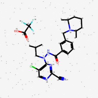 CC(C)CN(NC(=O)c1cccc(CN2C(C)CCCC2C)c1)c1nc(C#N)ncc1Cl.O=C(O)C(F)(F)F